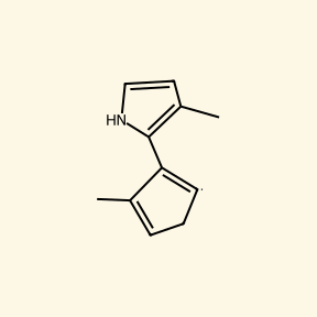 CC1=CC[C]=C1c1[nH]ccc1C